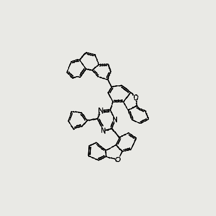 c1ccc(-c2nc(-c3cccc4oc5ccccc5c34)nc(-c3cc(-c4ccc5ccc6ccccc6c5c4)cc4oc5ccccc5c34)n2)cc1